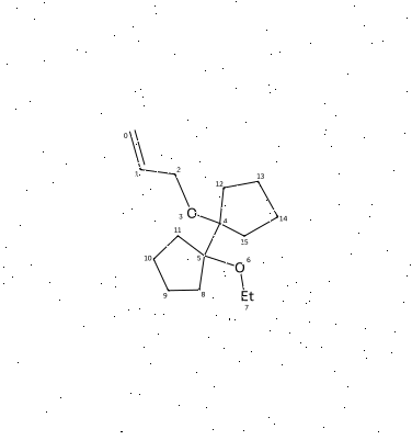 C=CCOC1(C2(OCC)CCCC2)CCCC1